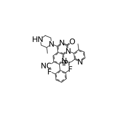 Cc1ccnc(C(C)C)c1-n1c(=O)nc(N2CCNCC2C)c2cc(C#N)c(-c3c(F)cccc3F)nc21